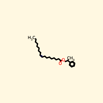 CCCCCCCC/C=C\CCCCCCCC(=O)OCC(C)c1ccccc1